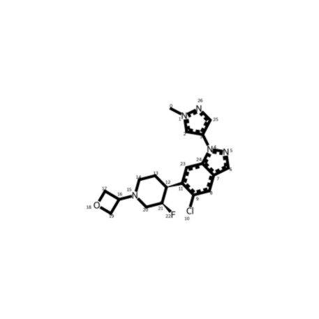 Cn1cc(-n2ncc3cc(Cl)c([C@@H]4CCN(C5COC5)C[C@@H]4F)cc32)cn1